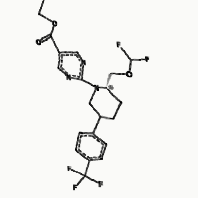 CCOC(=O)c1cnc(N2CC(c3ccc(C(F)(F)F)cc3)CC[C@H]2COC(F)F)nc1